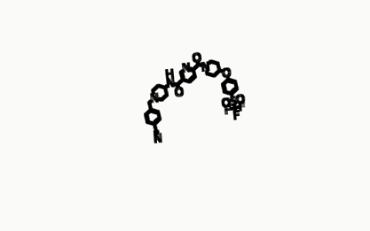 N#Cc1ccc(CN2CCC(NC(=O)c3ccc(C(=O)N4CCC(Oc5ccc(S(=O)(=O)C(F)(F)F)cc5)CC4)nc3)CC2)cc1